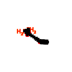 O=C(OCCCCCCCCCCCCOc1ccc(-c2ccccc2)cc1)c1cc(P)cc(P)c1